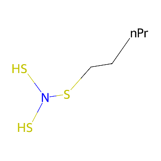 CCCCCSN(S)S